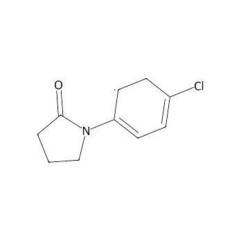 O=C1CCCN1C1=CC=C(Cl)C[CH]1